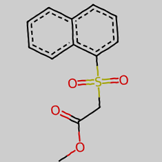 COC(=O)CS(=O)(=O)c1cccc2ccccc12